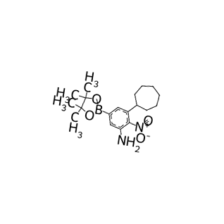 CC1(C)OB(c2cc(N)c([N+](=O)[O-])c(C3CCCCCC3)c2)OC1(C)C